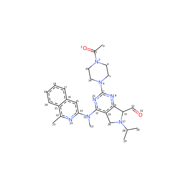 CC(=O)N1CCN(c2nc3c(c(N(C)c4cc5ccccc5c(C)n4)n2)CN(C(C)C)C3C=O)CC1